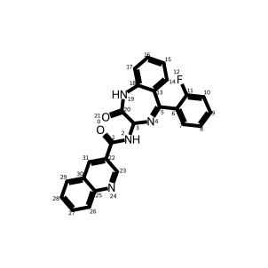 O=C(NC1N=C(c2ccccc2F)c2ccccc2NC1=O)c1cnc2ccccc2c1